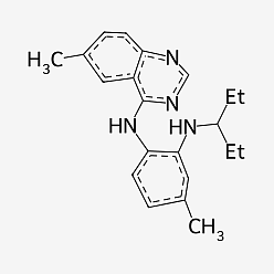 CCC(CC)Nc1cc(C)ccc1Nc1ncnc2ccc(C)cc12